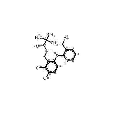 CC(C)(C)[S+]([O-])NCc1c(Sc2ncccc2CO)ccc(Cl)c1Cl